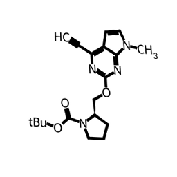 C#Cc1nc(OC[C@H]2CCCN2C(=O)OC(C)(C)C)nc2c1ccn2C